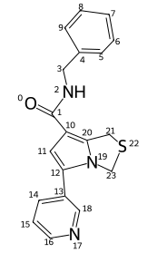 O=C(NCc1ccccc1)c1cc(-c2cccnc2)n2c1CSC2